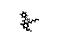 CCCCCNc1nc(N)nc(C)c1CCc1ccccc1